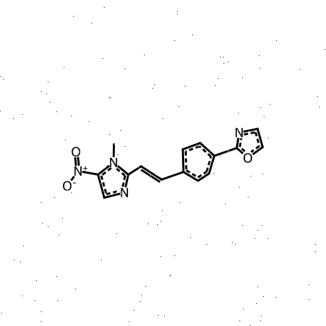 Cn1c([N+](=O)[O-])cnc1C=Cc1ccc(-c2ncco2)cc1